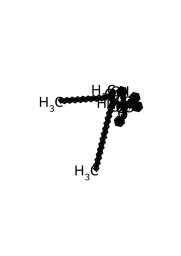 CCCCCCCCCCCCCCCCCCCCCCCCCC(=O)N[C@@H](CC[C@H]1O[C@H](COCc2ccccc2)[C@H](OCc2ccccc2)[C@H](OCc2ccccc2)[C@H]1OCc1ccccc1)[C@@H]1OC(C)(C)O[C@@H]1CCCCCCCCCCCCCCCCCCC